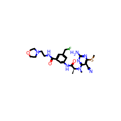 CSc1nc(N)nc(N(C)[C@@H](C)C(=O)Nc2cc(CF)cc(C(=O)NCCN3CCOCC3)c2)c1C#N